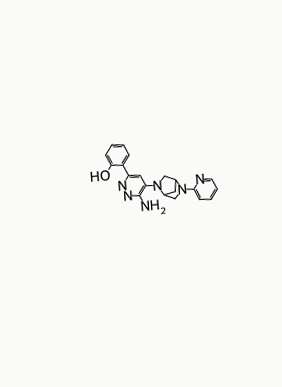 Nc1nnc(-c2ccccc2O)cc1N1CC2CC1CN2c1ccccn1